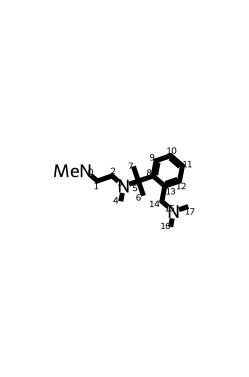 CNCCN(C)C(C)(C)c1ccccc1CN(C)C